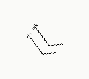 CCCCCCCC/C=C\CCCCCCCCCCCCCC(=O)O.CCCCCCCC/C=C\CCCCCCCCCCCCCC(=O)O